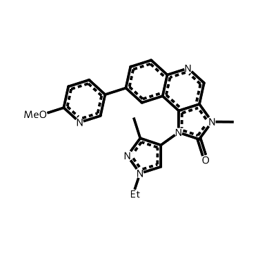 CCn1cc(-n2c(=O)n(C)c3cnc4ccc(-c5ccc(OC)nc5)cc4c32)c(C)n1